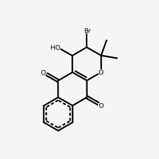 CC1(C)OC2=C(C(=O)c3ccccc3C2=O)C(O)C1Br